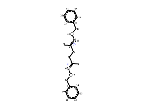 C/C(CC/C(C)=N/OCc1ccccc1)=N\OCc1ccccc1